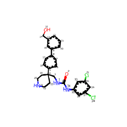 O=C(NCC1(c2ccc(-c3cccc(CO)c3)cc2)CCNCC1)Nc1cc(Cl)cc(Cl)c1